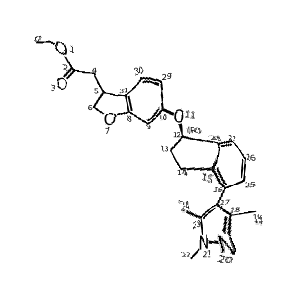 COC(=O)CC1COc2cc(O[C@@H]3CCc4c(-c5c(C)nn(C)c5C)cccc43)ccc21